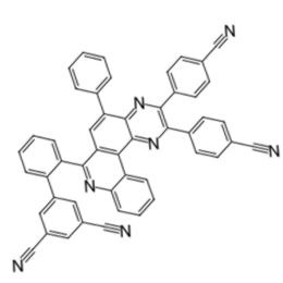 N#Cc1ccc(-c2nc3c(-c4ccccc4)cc4c(-c5ccccc5-c5cc(C#N)cc(C#N)c5)nc5ccccc5c4c3nc2-c2ccc(C#N)cc2)cc1